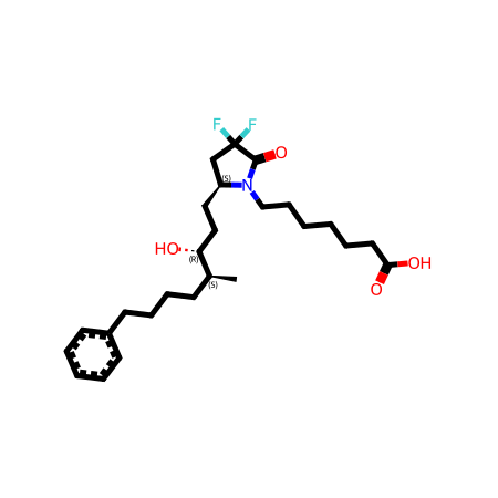 C[C@@H](CCCCc1ccccc1)[C@H](O)CC[C@H]1CC(F)(F)C(=O)N1CCCCCCC(=O)O